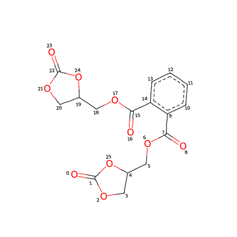 O=C1OCC(COC(=O)c2ccccc2C(=O)OCC2COC(=O)O2)O1